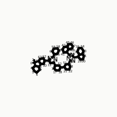 CC1(C)c2ccccc2-c2cc(-c3cc(-c4cccc(-c5cccc(-c6nc(-c7cccc8ccccc78)nc(-c7cccc8ccccc78)n6)c5)c4)nc(-c4ccccc4)n3)ccc21